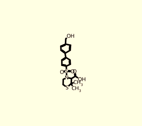 CC1(C)SCCN(S(=O)(=O)c2ccc(-c3ccc(CO)cc3)cc2)C1C(=O)O